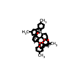 Cc1ccc2c(c1)c1cc(C)ccc1n2-c1cccc(C#N)c1-c1c(-c2c(C(F)(F)F)cccc2C(F)(F)F)cccc1-n1c2ccc(C)cc2c2cc(C)ccc21